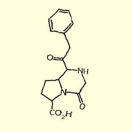 O=C(Cc1ccccc1)C1NCC(=O)N2C(C(=O)O)CCC12